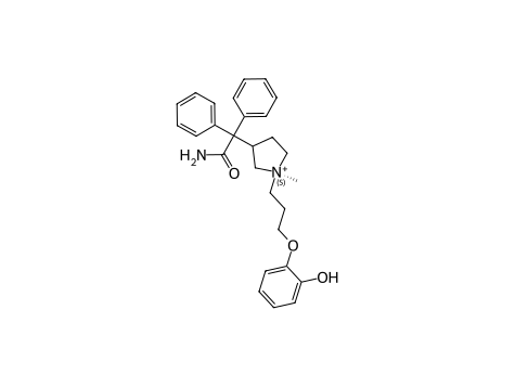 C[N@@+]1(CCCOc2ccccc2O)CCC(C(C(N)=O)(c2ccccc2)c2ccccc2)C1